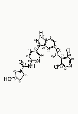 C[C@@H](Oc1ccc2[nH]nc(-c3ccc(NC(=O)N4CCC(O)C4)nc3)c2c1)c1c(Cl)cncc1Cl